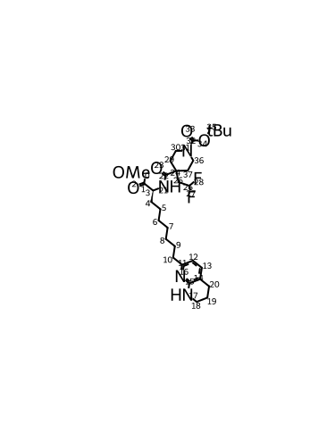 COC(=O)[C@H](CCCCCCCc1ccc2c(n1)NCCC2)NC(=O)C1(CC(F)F)CCN(C(=O)OC(C)(C)C)CC1